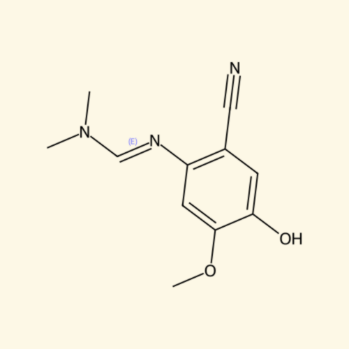 COc1cc(/N=C/N(C)C)c(C#N)cc1O